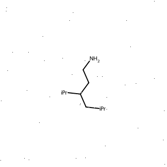 CC(C)CC(CCN)C(C)C